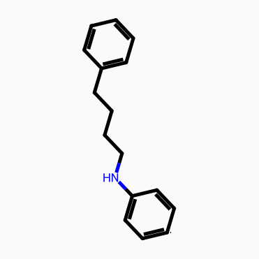 [c]1ccc(NCCCCc2ccccc2)cc1